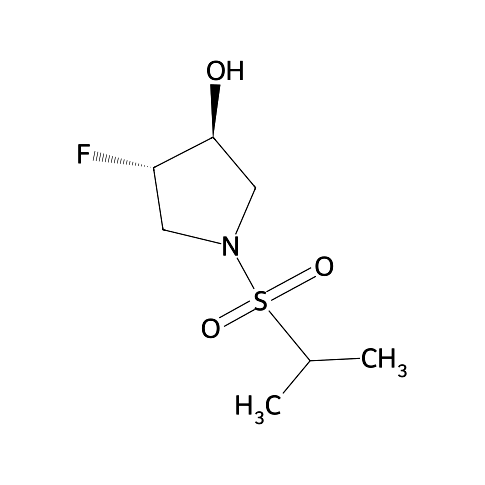 CC(C)S(=O)(=O)N1C[C@H](O)[C@@H](F)C1